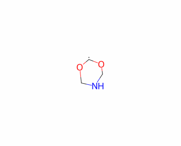 [CH]1OCNCO1